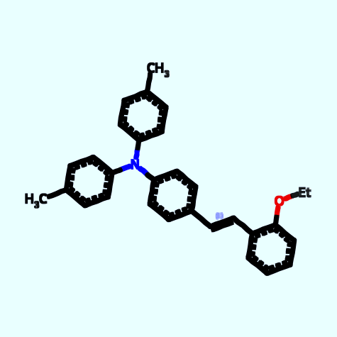 CCOc1ccccc1/C=C/c1ccc(N(c2ccc(C)cc2)c2ccc(C)cc2)cc1